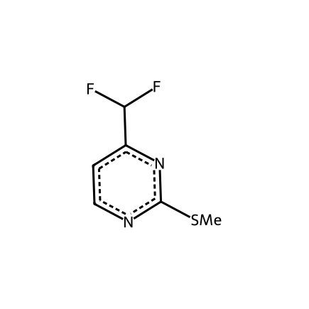 CSc1nccc(C(F)F)n1